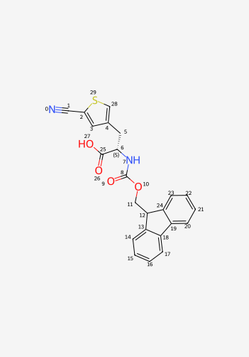 N#Cc1cc(C[C@H](NC(=O)OCC2c3ccccc3-c3ccccc32)C(=O)O)cs1